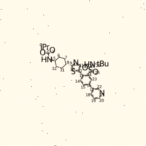 CC(C)OC(=O)N[C@H]1CC[C@H](c2ncc(-c3ccc(-c4cccnc4)cc3S(=O)(=O)NC(C)(C)C)s2)CC1